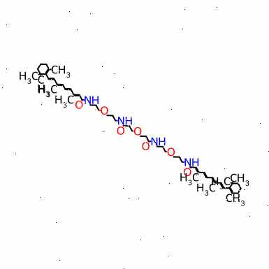 CC1=C(/C=C/C(C)=C/C=C/C(C)=C/C(=O)NCCCOCCCNC(=O)CCOCCC(=O)NCCCOCCCNC(=O)/C=C(C)/C=C/C=C(C)/C=C/C2=C(C)CCCC2(C)C)C(C)(C)CCC1